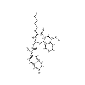 CCCCCC[C@@H]1N[C@H](CNC(=O)c2ccc3cc(I)ccc3c2)CCN(C[C@@H](CC)c2ccccc2)C1=O